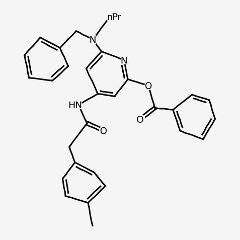 CCCN(Cc1ccccc1)c1cc(NC(=O)Cc2ccc(C)cc2)cc(OC(=O)c2ccccc2)n1